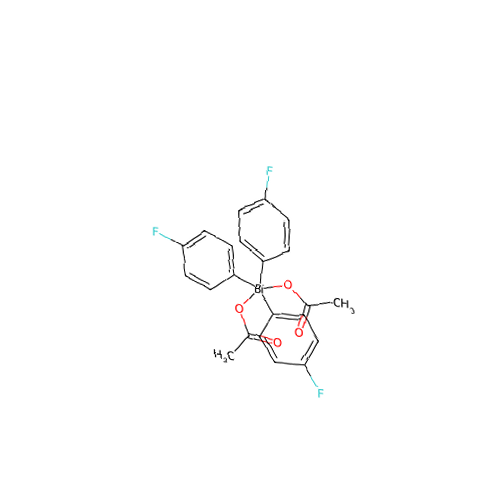 CC(=O)[O][Bi]([O]C(C)=O)([c]1ccc(F)cc1)([c]1ccc(F)cc1)[c]1ccc(F)cc1